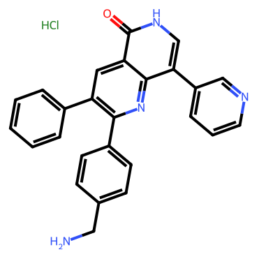 Cl.NCc1ccc(-c2nc3c(-c4cccnc4)c[nH]c(=O)c3cc2-c2ccccc2)cc1